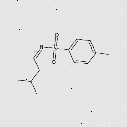 Cc1ccc(S(=O)(=O)/N=C\CC(C)C)cc1